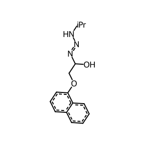 CC(C)NN=NC(O)COc1cccc2ccccc12